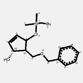 CC(C)(C)[Si](C)(C)OC1C=C[C@@H](O)C1COCc1ccccc1